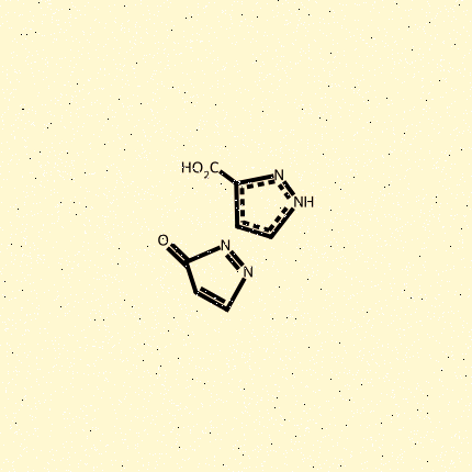 O=C(O)c1cc[nH]n1.O=C1C=CN=N1